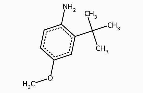 COc1ccc(N)c(C(C)(C)C)c1